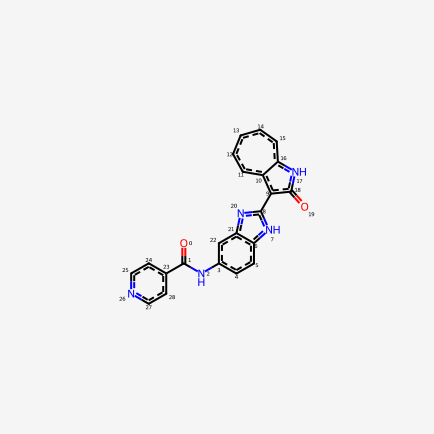 O=C(Nc1ccc2[nH]c(-c3c4cccccc-4[nH]c3=O)nc2c1)c1ccncc1